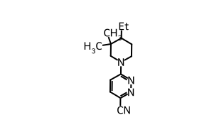 CCC1CCN(c2ccc(C#N)nn2)CC1(C)C